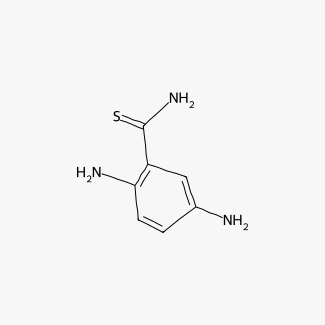 NC(=S)c1cc(N)ccc1N